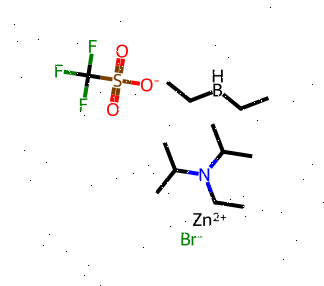 CCBCC.CCN(C(C)C)C(C)C.O=S(=O)([O-])C(F)(F)F.[Br-].[Zn+2]